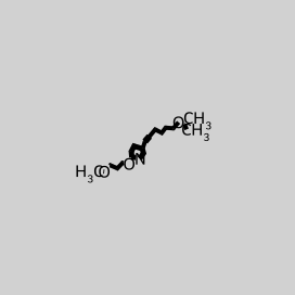 COCCCOc1ccc(C#CCCCCOC(C)C)cn1